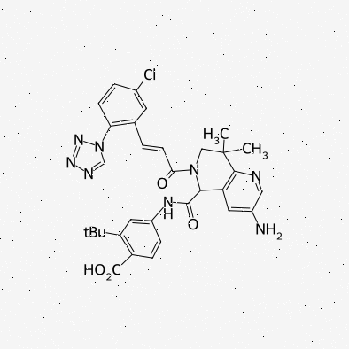 CC(C)(C)c1cc(NC(=O)C2c3cc(N)cnc3C(C)(C)CN2C(=O)C=Cc2cc(Cl)ccc2-n2cnnn2)ccc1C(=O)O